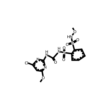 CONS(=O)(=O)c1ccccc1S(=O)(=O)NC(=O)Nc1nc(Cl)cc(OC)n1